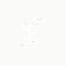 CONc1[nH]ccc1/C(C)=C(\C)C(=O)OC